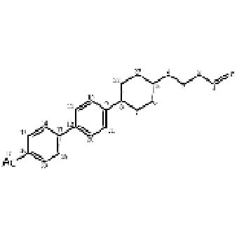 C=CCCCC1CCC(c2ccc(-c3ccc(C(C)=O)cc3)cc2)CC1